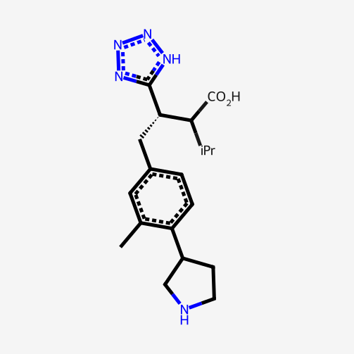 Cc1cc(C[C@H](c2nnn[nH]2)C(C(=O)O)C(C)C)ccc1C1CCNC1